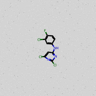 Fc1ccc(Nc2cc(Cl)nc(Cl)n2)cc1Cl